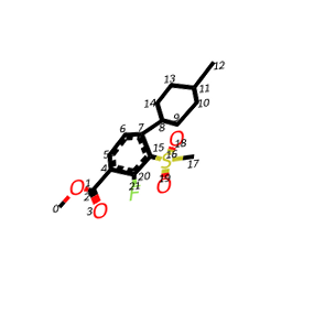 COC(=O)c1ccc(C2CCC(C)CC2)c(S(C)(=O)=O)c1F